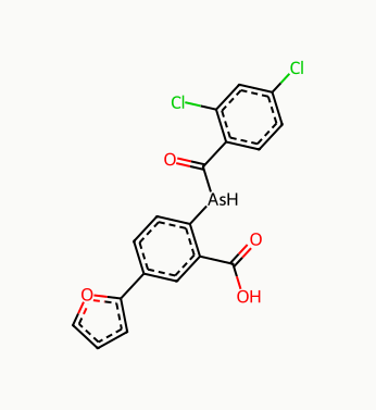 O=C([AsH]c1ccc(-c2ccco2)cc1C(=O)O)c1ccc(Cl)cc1Cl